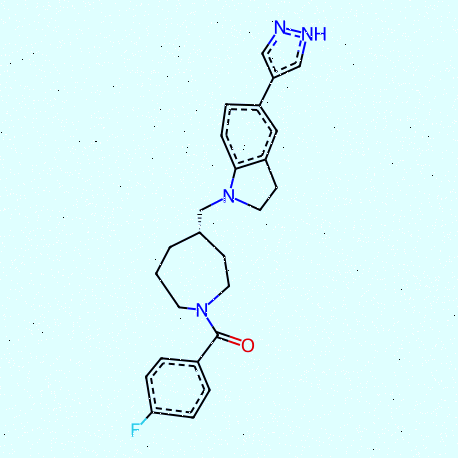 O=C(c1ccc(F)cc1)N1CCC[C@H](CN2CCc3cc(-c4cn[nH]c4)ccc32)CC1